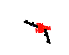 CC(C)=CCC/C(C)=C/CCP(=O)(O)OP(=O)(O)OP(=O)(O)CC/C=C(\C)CCC=C(C)C